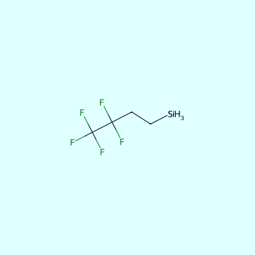 FC(F)(F)C(F)(F)CC[SiH3]